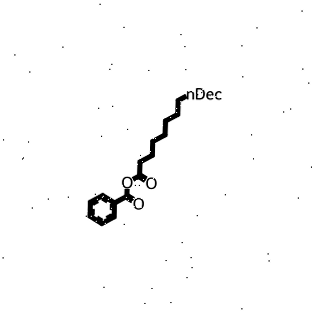 CCCCCCCCCCCCCCCCCC(=O)OC(=O)c1ccccc1